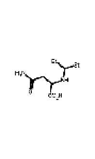 CCC(CC)NC(CC(N)=O)C(=O)O